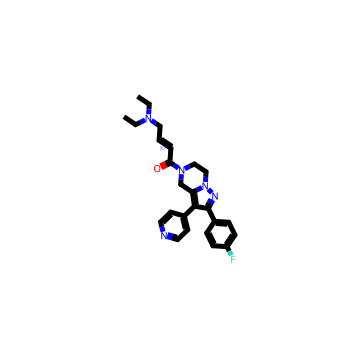 CCN(CC)C/C=C/C(=O)N1CCn2nc(-c3ccc(F)cc3)c(-c3ccncc3)c2C1